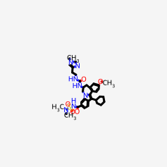 COc1ccc2c(c1)CC(NC(=O)NCCc1cn(C)cn1)Cn1c-2c(C2CCCCC2)c2ccc(C(=O)NS(=O)(=O)N(C)C)cc21